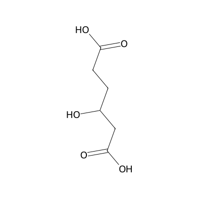 O=C(O)CCC(O)CC(=O)O